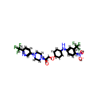 O=C(COC1CCC(Nc2ccc([N+](=O)[O-])c(C(F)(F)F)c2)CC1)N1CCN(c2ccc(C(F)(F)F)nc2)CC1